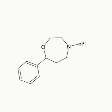 CCCN1CCOC(c2ccccc2)CC1